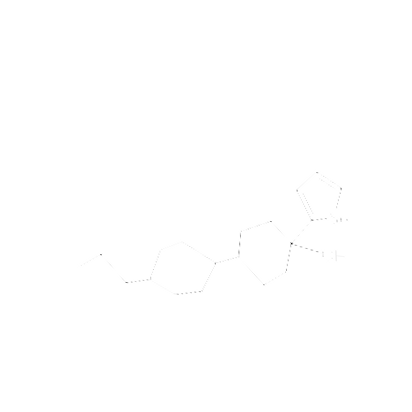 CCCC1CCC(C2CCC(O)(c3ccc[se]3)CC2)CC1